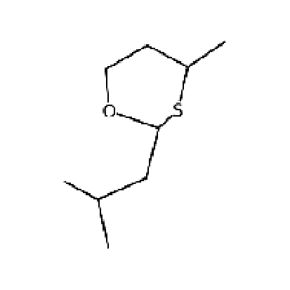 CC(C)CC1OCCC(C)S1